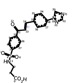 O=C(O)CCNS(=O)(=O)c1ccc(C(=O)/C=C/c2ccc(-n3cncn3)cc2)cc1